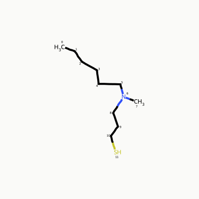 CCCCCCN(C)CCCS